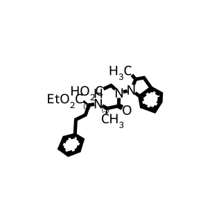 CCOC(=O)[C@H](CCc1ccccc1)N[C@@H](C)C(=O)N(CC(=O)O)N1c2ccccc2CC1C